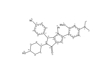 COc1nc(N(C)C)ncc1-c1cc2c(n1C(C)C)C(c1ccc(C#N)cc1)N(C1CCC(O)CC1)C2=O